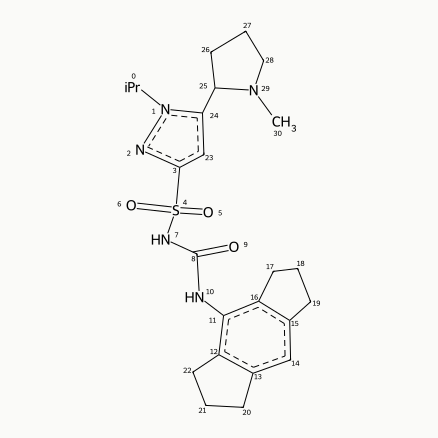 CC(C)n1nc(S(=O)(=O)NC(=O)Nc2c3c(cc4c2CCC4)CCC3)cc1C1CCCN1C